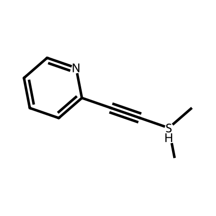 C[SH](C)C#Cc1ccccn1